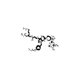 CCCCC(CC)COC(=O)CCSc1nn(Cc2ccc(OC)cc2)c2nc(N3CCC(C)(NC(=O)OC(C)(C)C)CC3)cnc12